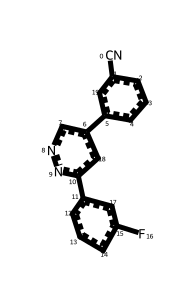 N#Cc1cccc(-c2cnnc(-c3cccc(F)c3)c2)c1